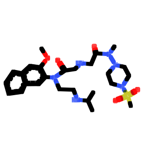 COc1cc2ccccc2cc1N(CCNC(C)C)C(=O)CNCC(=O)N(C)N1CCN(S(C)(=O)=O)CC1